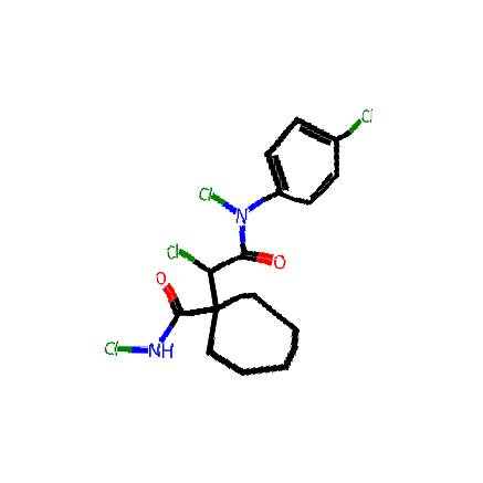 O=C(C(Cl)C1(C(=O)NCl)CCCCC1)N(Cl)c1ccc(Cl)cc1